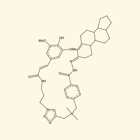 COc1cc(/C=C/C(=O)NCCCn2cc(C[N+](C)(C)Cc3ccc(C(=O)NN=C4C=C5CCC6C7CCCC7CCC6C5CC4)cc3)nn2)cc(OC)c1O